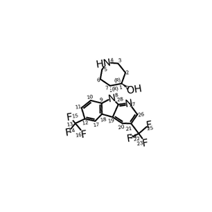 O[C@@H]1CCNCC[C@H]1n1c2ccc(C(F)(F)F)cc2c2cc(C(F)(F)F)cnc21